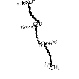 CCCCCCC(O)CCCCCCCCCCC(=O)OC(CCCCCC)CCCCCCCCCCC(=O)OC(CCCCCC)CCCCCCCCCCC(C)O